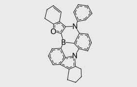 C1=Cc2c(oc3c2N(c2ccccc2)c2cccc4c2B3c2cccc3c5c(n-4c23)CCCC5)CC1